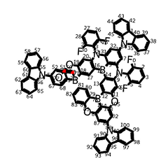 Fc1cccc(F)c1N1c2cc3c(cc2B2c4cc5c(cc4N(c4c(F)cccc4F)c4cc(-n6c7ccccc7c7ccccc76)cc1c42)Oc1cc(-n2c4ccccc4c4ccccc42)cc2c1B5c1ccccc1O2)B1c2ccccc2Oc2cc(-n4c5ccccc5c5ccccc54)cc(c21)O3